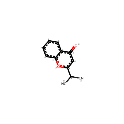 N#CC(C#N)c1cc(=O)c2ccccc2o1